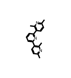 Cc1ccc(-c2cccc(-c3ccc(C)nc3C)n2)c(C)n1